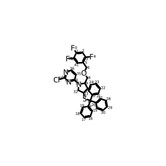 Fc1cc(F)c(COCC2CC(SC(c3ccccc3)(c3ccccc3)c3ccccc3)CN2c2ccnc(Cl)n2)cc1F